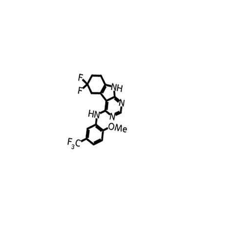 COc1ccc(C(F)(F)F)cc1Nc1ncnc2[nH]c3c(c12)CC(F)(F)CC3